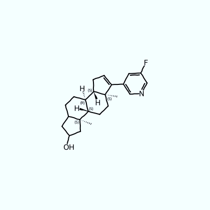 C[C@]12CC(O)CC1CC[C@@H]1[C@@H]2CC[C@]2(C)C(c3cncc(F)c3)=CC[C@@H]12